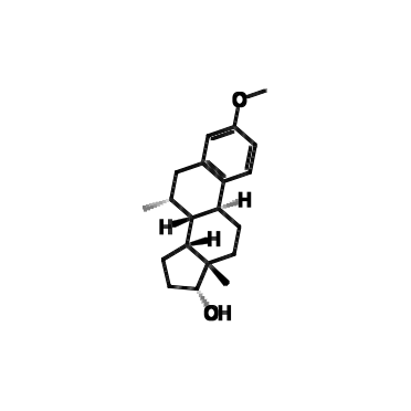 COc1ccc2c(c1)C[C@@H](C)[C@@H]1[C@@H]2CC[C@]2(C)[C@H](O)CC[C@H]12